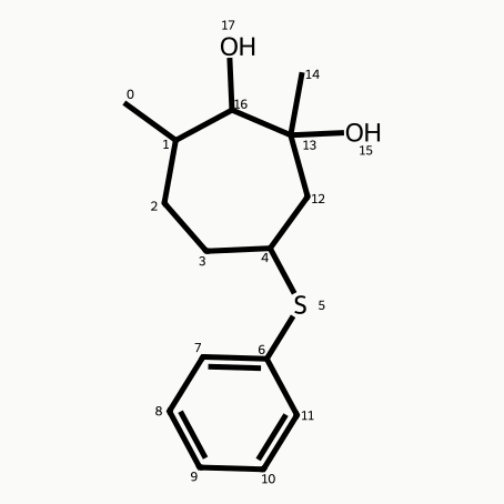 CC1CCC(Sc2ccccc2)CC(C)(O)C1O